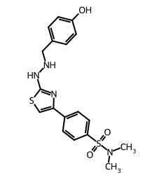 CN(C)S(=O)(=O)c1ccc(-c2csc(NNCc3ccc(O)cc3)n2)cc1